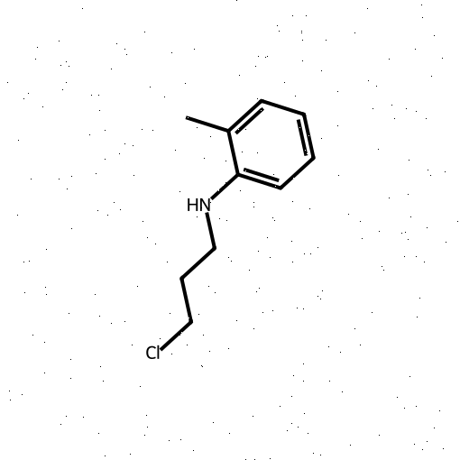 Cc1ccccc1NCCCCl